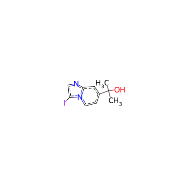 CC(C)(O)c1ccn2c(I)cnc2c1